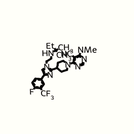 CCC(C)(C)NCCn1cc(-c2ccc(F)c(C(F)(F)F)c2)nc1C1CCN(c2ncnc(NC)c2C#N)CC1